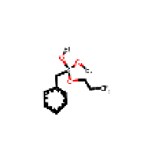 CCO[Si](Cc1ccccc1)(OCC)OCCC(F)(F)F